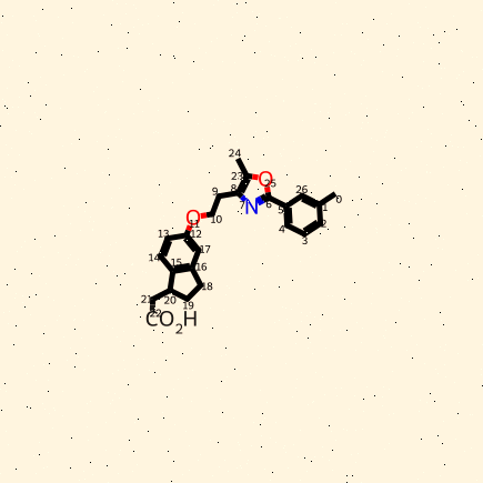 Cc1cccc(-c2nc(CCOc3ccc4c(c3)CCC4CC(=O)O)c(C)o2)c1